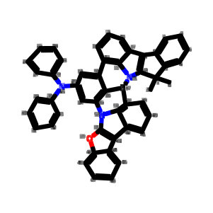 CC1(C)c2ccccc2-c2c1n1c3c(cccc23)-c2cc(N(c3ccccc3)c3ccccc3)cc3c2B1c1cccc2c4c5ccccc5oc4n-3c12